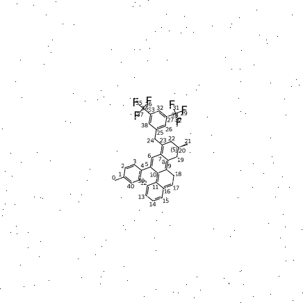 Cc1ccc(-c2cc3c(c4c2=c2ccccc2=CC4)C[C@H](C)CC=3Cc2cc(C(F)(F)F)cc(C(F)(F)F)c2)cc1